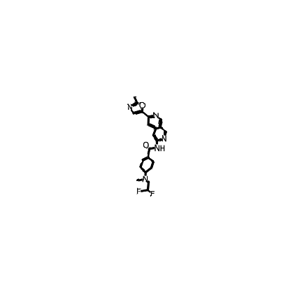 Cc1ncc(-c2cc3cc(NC(=O)C4CCC(N(C)CC(F)F)CC4)ncc3cn2)o1